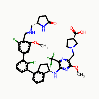 COc1cc(-c2cccc(-c3cccc4c3CC[C@@H]4Nc3nc(OC)c(CN4CC[C@@H](C(=O)O)C4)nc3C(F)(F)F)c2Cl)cc(F)c1CNC[C@@H]1CCC(=O)N1